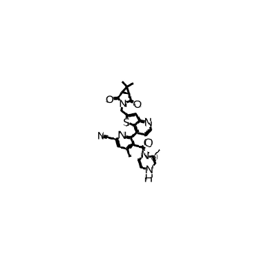 Cc1cc(C#N)nc(-c2ccnc3cc(CN4C(=O)C5C(C4=O)C5(C)C)sc23)c1C(=O)N1CCNC[C@@H]1C